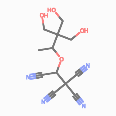 CC(OC(C#N)C(C#N)(C#N)C#N)C(CO)(CO)CO